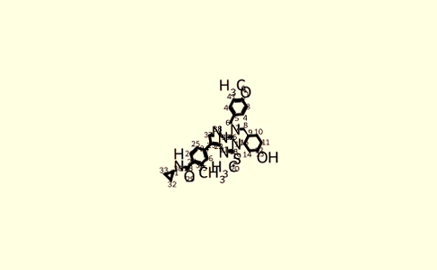 COc1ccc(CN(C[C@H]2CC[C@@H](O)CC2)c2nc(SC)nc3c(-c4ccc(C(=O)NC5CC5)c(C)c4)cnn23)cc1